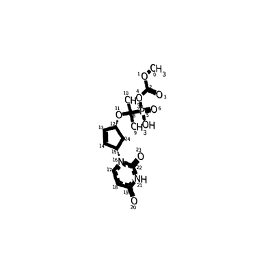 COC(=O)OP(=O)(O)C(C)(C)O[C@H]1C=C[C@@H](n2ccc(=O)[nH]c2=O)C1